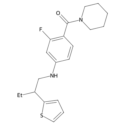 CCC(CNc1ccc(C(=O)N2CCCCC2)c(F)c1)c1cccs1